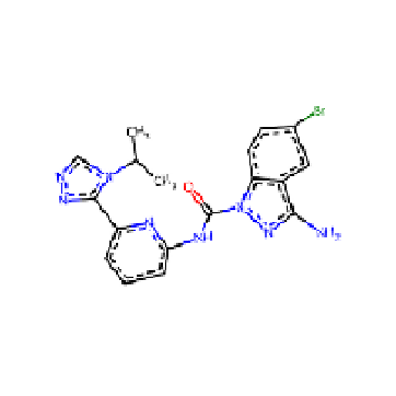 CC(C)n1cnnc1-c1cccc(NC(=O)n2nc(N)c3cc(Br)ccc32)n1